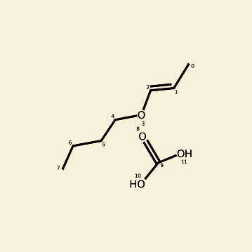 CC=COCCCC.O=C(O)O